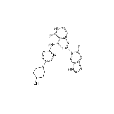 O=c1[nH]ccc2nc(-c3cc4[nH]ccc4cc3F)cc(Nc3ccc(N4CCC(O)CC4)cn3)c12